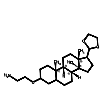 C[C@]12CCC(OCCN)CC1CC[C@@H]1[C@H]2CC[C@]2(C)C(C3OCCO3)CC[C@@]12O